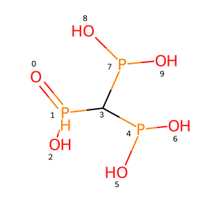 O=[PH](O)C(P(O)O)P(O)O